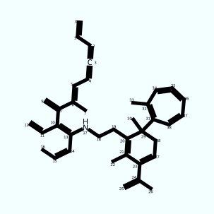 C=CC=C=C/C=C(\C)C(=C)/C(C=C)=C(/C=C\C)NCCC1=C(C)C(C(=C)C)=CCC1(C)C1=C(C)C=C=CC=C1